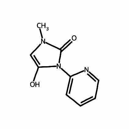 Cn1cc(O)n(-c2ccccn2)c1=O